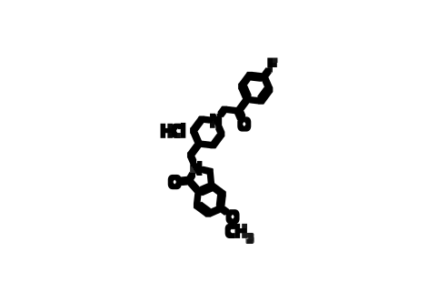 COc1ccc2c(c1)CN(CC1CCN(CC(=O)c3ccc(F)cc3)CC1)C2=O.Cl